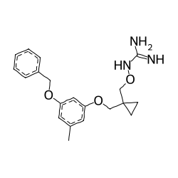 Cc1cc(OCc2ccccc2)cc(OCC2(CONC(=N)N)CC2)c1